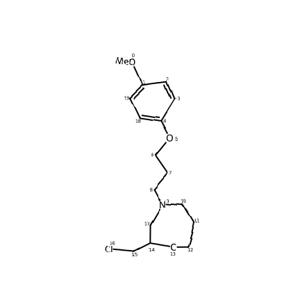 COc1ccc(OCCCN2CCCCC(CCl)C2)cc1